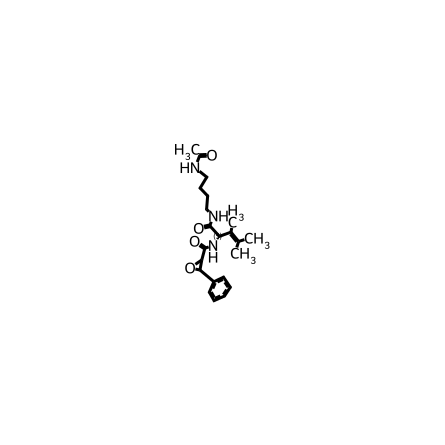 CC(=O)NCCCCNC(=O)[C@@H](NC(=O)C1OC1c1ccccc1)C(C)=C(C)C